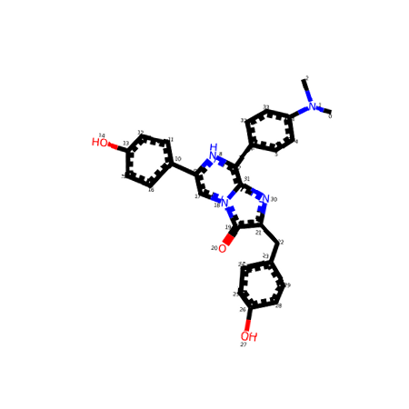 CN(C)c1ccc(-c2[nH]c(-c3ccc(O)cc3)cn3c(=O)c(Cc4ccc(O)cc4)nc2-3)cc1